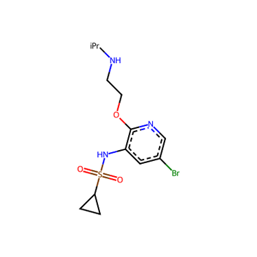 CC(C)NCCOc1ncc(Br)cc1NS(=O)(=O)C1CC1